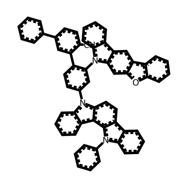 N#Cc1ccc(-c2ccccc2)cc1-c1ccc(-n2c3ccccc3c3c2ccc2c4ccccc4n(-c4ccccc4)c23)cc1-n1c2ccccc2c2cc3c(cc21)oc1ccccc13